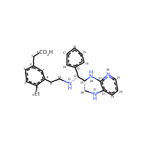 CCc1ccc(CC(=O)O)cc1CCN[C@H](c1ccccc1)[C@H]1CNc2cccnc2N1